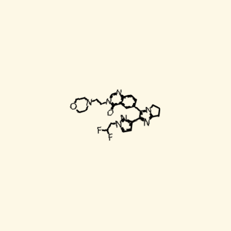 O=c1c2cc(-c3c(-c4ccn(CC(F)F)n4)nc4n3CCC4)ccc2ncn1CCN1CCOCC1